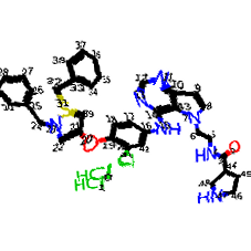 Cl.Cl.O=C(NCCn1ccc2ncnc(Nc3ccc(OC4=CN(Cc5ccccc5)S(Cc5ccccc5)=C4)c(Cl)c3)c21)C1CCNC1